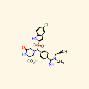 C#CCN(C)C(=N)c1ccc(C(N2CC(=O)N[C@@H](C(=O)O)C2)S(=O)(=O)c2cc3cc(Cl)ccc3[nH]2)cc1